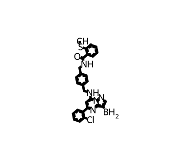 Bc1cnn2c(NCc3ccc(CNC(=O)c4ccccc4SC)cc3)cc(-c3ccccc3Cl)nc12